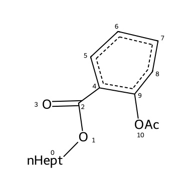 CCCCCCCOC(=O)c1ccccc1OC(C)=O